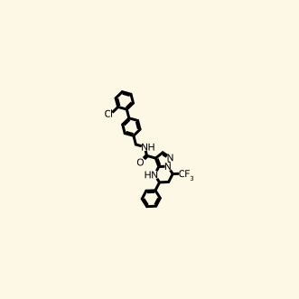 O=C(NCc1ccc(-c2ccccc2Cl)cc1)c1cnn2c1NC(c1ccccc1)CC2C(F)(F)F